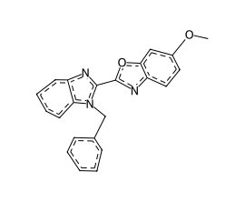 COc1ccc2nc(-c3nc4ccccc4n3Cc3ccccc3)oc2c1